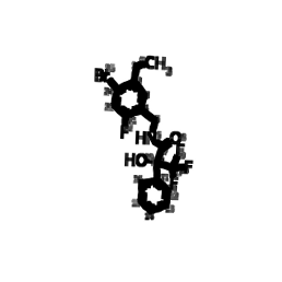 CCc1cc(CNC(=O)[C@](O)(c2ccccc2)C(F)(F)F)c(F)cc1Br